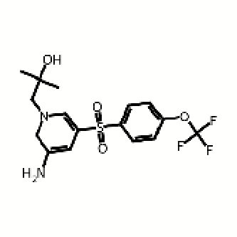 CC(C)(O)CN1C=C(S(=O)(=O)c2ccc(OC(F)(F)F)cc2)C=C(N)C1